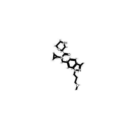 COCCCn1nc(C)c2ccc(CN(C(=O)[C@H]3CNCCO3)C3CC3)cc21